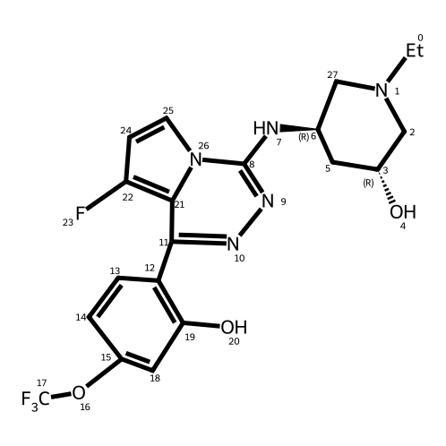 CCN1C[C@H](O)C[C@@H](Nc2nnc(-c3ccc(OC(F)(F)F)cc3O)c3c(F)ccn23)C1